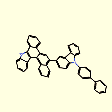 c1ccc(-c2ccc(-n3c4ccccc4c4cc(-c5cc6c7ccccc7c7[nH]c8ccccc8c7c6c6ccccc56)ccc43)cc2)cc1